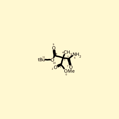 COC(=O)C(C)(C(N)=O)C(=O)OC(C)(C)C